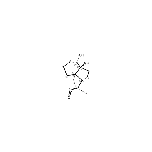 C[C@H](C=O)[C@H]1CC[C@H]2[C@@H](O)CCC[C@]12C